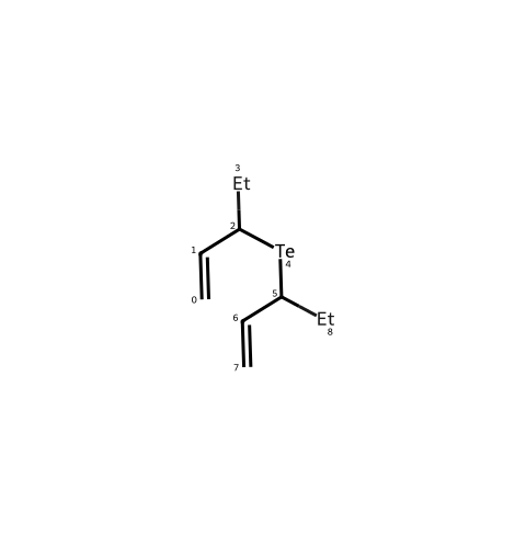 C=CC(CC)[Te]C(C=C)CC